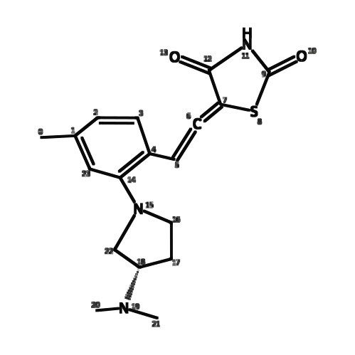 Cc1ccc(C=C=C2SC(=O)NC2=O)c(N2CC[C@H](N(C)C)C2)c1